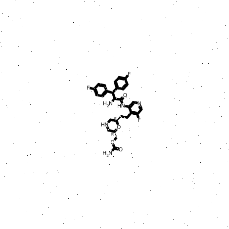 NC(=O)OC[C@@H]1CNC[C@@H](CCc2c(F)cncc2NC(=O)C(N)C(c2ccc(F)cc2)c2ccc(F)cc2)O1